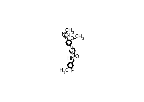 CCOc1cc(N2CCN(C(=O)NCc3ccc(C)c(F)c3)CC2)ccc1-n1cnc(C)n1